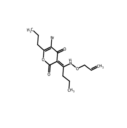 C=CCONC(CCC)=C1C(=O)OC(CCC)=C(Br)C1=O